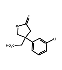 O=C(O)CC1(c2cccc(Cl)c2)CNC(=O)C1